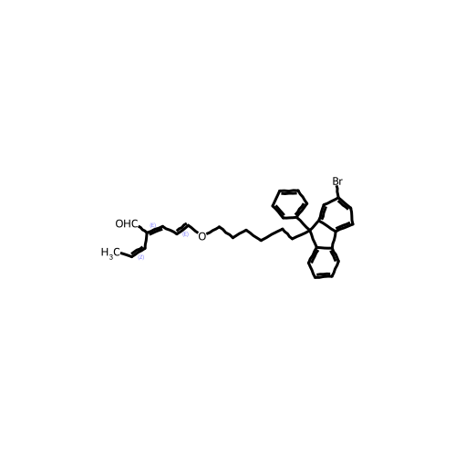 C\C=C/C(C=O)=C\C=C\OCCCCCCC1(c2ccccc2)c2ccccc2-c2ccc(Br)cc21